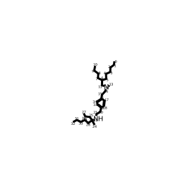 CCCCCCC(CCCC)CN(C)CCc1ccc(CCNC(C)(CCC)CCCCC)cc1